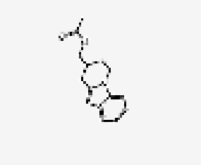 CC(=O)OCC1CCn2c(cc3ccccc32)C1